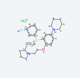 Cl.O=C(O)C1CCCN1CCOc1ccc(N2CCCCC2)cc1Sc1cccc(F)c1